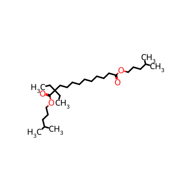 CCC(CC)(CCCCCCCCCC(=O)OCCCC(C)C)C(=O)OCCCC(C)C